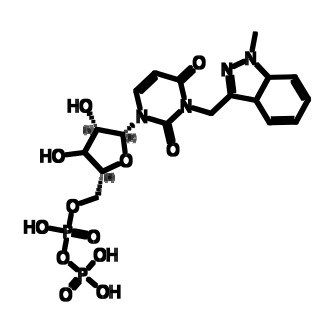 CN1N=C(Cn2c(=O)ccn([C@@H]3O[C@H](COP(=O)(O)OP(=O)(O)O)C(O)[C@@H]3O)c2=O)C2C=CC=CC21